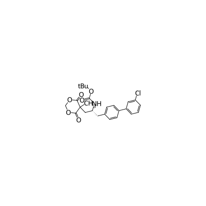 CC(C)(C)OC(=O)N[C@H](Cc1ccc(-c2cccc(Cl)c2)cc1)CC1(C)C(=O)OCOC1=O